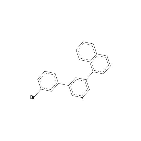 Brc1cccc(-c2c[c]cc(-c3cccc4ccccc34)c2)c1